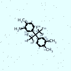 Cc1ccc(C(c2ccc(C)c(N)c2)(C(F)(F)F)C(F)(F)F)cc1C